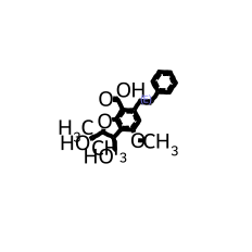 COc1cc(/C=C/c2ccccc2)c(C(=O)O)c2c1C(CO)C(C(C)(C)O)O2